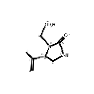 C=C(C)[C@@H]1CNC(=O)N1CC(=O)O